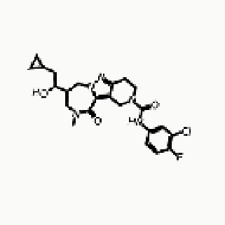 CN1CC(C(O)CC2CC2)Cn2nc3c(c2C1=O)CN(C(=O)Nc1ccc(F)c(Cl)c1)CC3